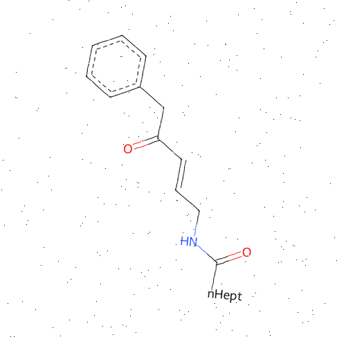 CCCCCCCC(=O)NC/C=C/C(=O)Cc1ccccc1